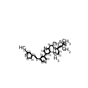 C#Cc1cc(/C=C/c2cncc(-c3ccc(CC(=C)NC(/C=C\C)=C/C(=C)C(C)(F)F)nc3)c2)ccn1